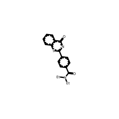 CCN(CC)C(=O)c1ccc(-c2nc(=O)c3ccccc3s2)cc1